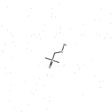 CC(=O)SCP(C)(C)=O